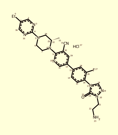 CCc1cnc(N2CCN(c3ncc(-c4ccc(-n5cnn(CCN)c5=O)c(F)c4)cc3C#N)[C@@H](C)C2)nc1.Cl